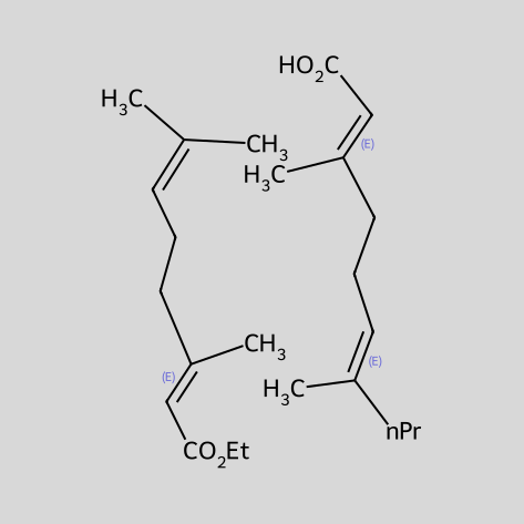 CCC/C(C)=C/CC/C(C)=C/C(=O)O.CCOC(=O)/C=C(\C)CCC=C(C)C